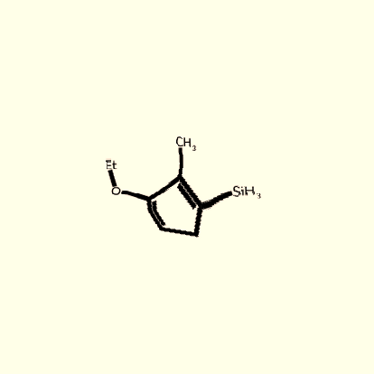 CCOC1=CCC([SiH3])=C1C